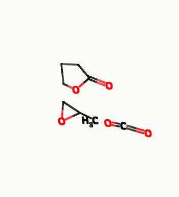 CC1CO1.O=C1CCCO1.O=C=O